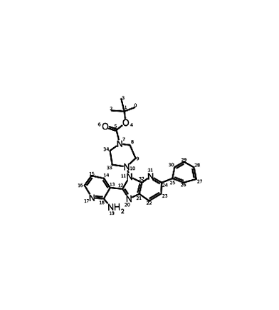 CC(C)(C)OC(=O)N1CCN(n2c(-c3cccnc3N)nc3ccc(-c4ccccc4)nc32)CC1